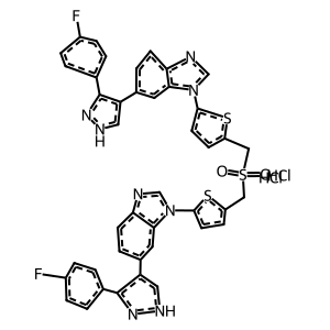 Cl.Cl.O=S(=O)(Cc1ccc(-n2cnc3ccc(-c4c[nH]nc4-c4ccc(F)cc4)cc32)s1)Cc1ccc(-n2cnc3ccc(-c4c[nH]nc4-c4ccc(F)cc4)cc32)s1